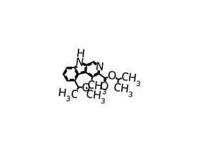 COC(C)c1cccc2[nH]c3cnc(C(=O)OC(C)C)c(C)c3c12